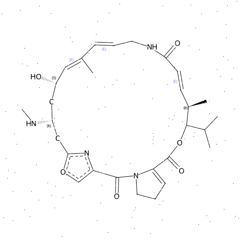 CN[C@H]1Cc2nc(co2)C(=O)N2CCC=C2C(=O)OC(C(C)C)[C@H](C)/C=C/C(=O)NC/C=C/C(C)=C/[C@@H](O)C1